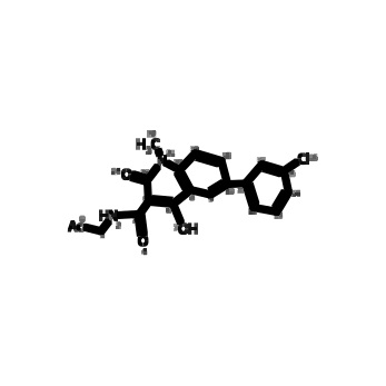 CC(=O)CNC(=O)c1c(O)c2cc(-c3cccc(Cl)c3)ccc2n(C)c1=O